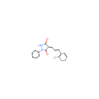 O=C1NN(c2ccccc2)C(=O)C1=CC=CC1=C(Cl)CCC=C1